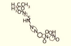 CC(C)(C)OC(=O)N1CC(SNCCN2CCN(c3ccc4c(c3)C(=O)N(C3CCC(=O)NC3=O)C4=O)CC2)C1